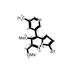 CCc1ccc2c(-c3cncc(C)c3)c(OC)c(COC)nn12